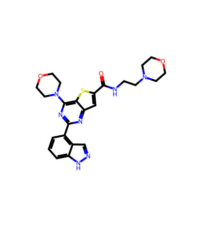 O=C(NCCN1CCOCC1)c1cc2nc(-c3cccc4[nH]ncc34)nc(N3CCOCC3)c2s1